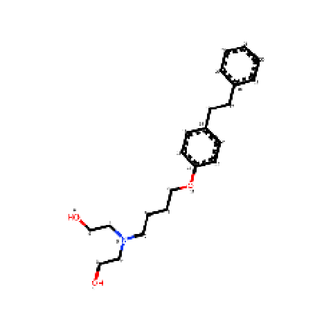 OCCN(CCO)CCCCOc1ccc(CCc2ccccc2)cc1